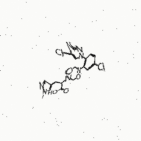 Cn1cc(CC(C(=O)O)N2CON(c3cc(Cl)ccc3-n3cc(Cl)nn3)CO2)cn1